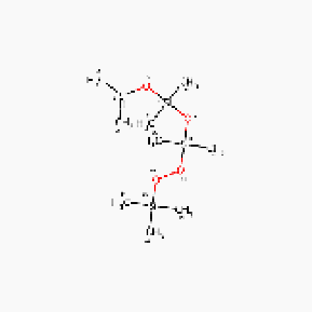 C[SiH](C)O[Si](C)(C)O[Si](C)(C)OO[Si](C)(C)C